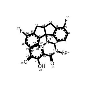 CCCN1CN(C23c4cccc(F)c4CC2Cc2c(F)cccc23)n2ccc(=O)c(O)c2C1=O